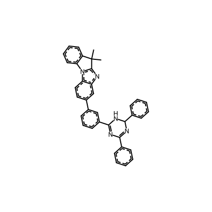 CC1(C)c2ccccc2-n2c1nc1cc(-c3cccc(C4=NC(c5ccccc5)=NC(c5ccccc5)N4)c3)ccc12